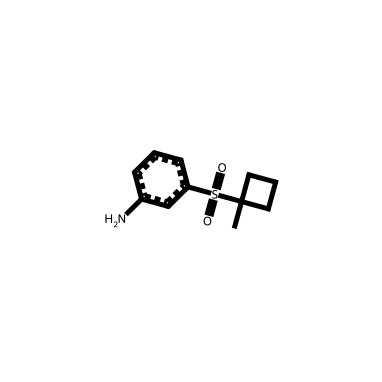 CC1(S(=O)(=O)c2cccc(N)c2)CCC1